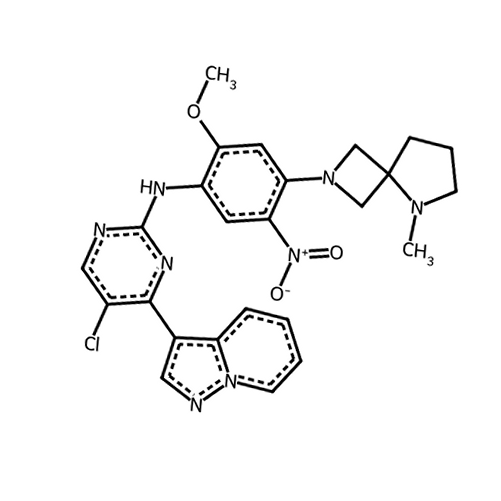 COc1cc(N2CC3(CCCN3C)C2)c([N+](=O)[O-])cc1Nc1ncc(Cl)c(-c2cnn3ccccc23)n1